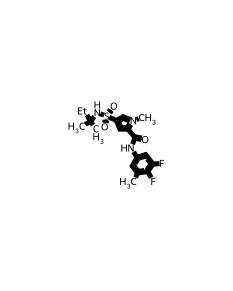 CCC(C)(C)NS(=O)(=O)c1cc(C(=O)Nc2cc(C)c(F)c(F)c2)n(C)c1